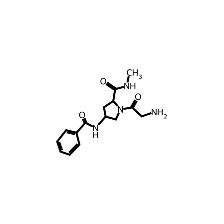 CNC(=O)C1CC(NC(=O)c2ccccc2)CN1C(=O)CN